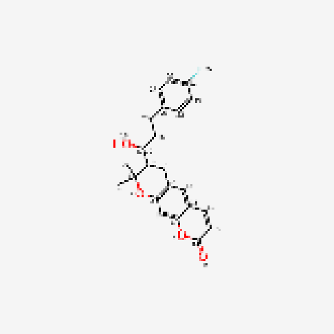 CC1(C)Oc2cc3oc(=O)ccc3cc2CC1[C@@H](O)CCc1ccc(F)cc1